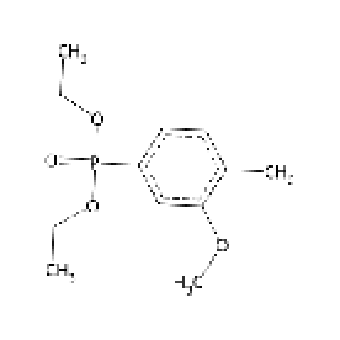 CCOP(=O)(OCC)c1ccc(C)c(OC)c1